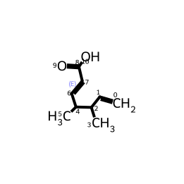 C=CC(C)C(C)/C=C/C(=O)O